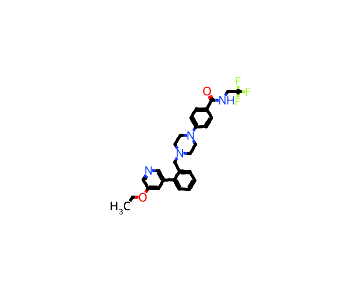 CCOc1cncc(-c2ccccc2CN2CCN(c3ccc(C(=O)NCC(F)(F)F)cc3)CC2)c1